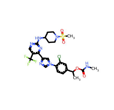 CNC(=O)OC(C)c1ccc(-n2cnc(-c3nc(NC4CCN(S(C)(=O)=O)CC4)ncc3C(F)(F)F)c2)c(Cl)c1